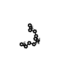 c1cc(-c2cccc(-c3cccc4c3sc3ccccc34)c2)cc(-c2ncnc3c2ccc2cc(-c4cccc(-c5cccc6c5sc5ccccc56)c4)ccc23)c1